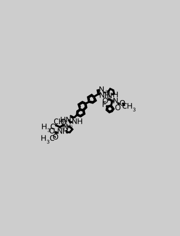 COC(=O)N[C@H](C(=O)N1CCC[C@H]1C1NC=C(c2ccc3cc(-c4ccc(-c5cnc([C@@H]6CCCN6C(=O)[C@H](NC(=O)OC)c6ccccc6F)[nH]5)cc4)ccc3c2)N1)C(C)C